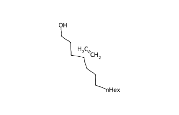 C=C.CCCCCCCCCCCCCO